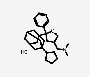 CN(C)CC1COC(c2ccccc2)(C23CC4CC(CC(C5CCCC5)(C4)C2)C3)C1.Cl